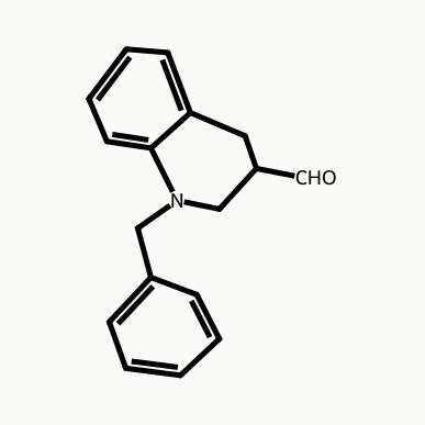 O=CC1Cc2ccccc2N(Cc2ccccc2)C1